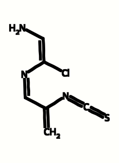 C=C(/C=N\C(Cl)=C/N)N=C=S